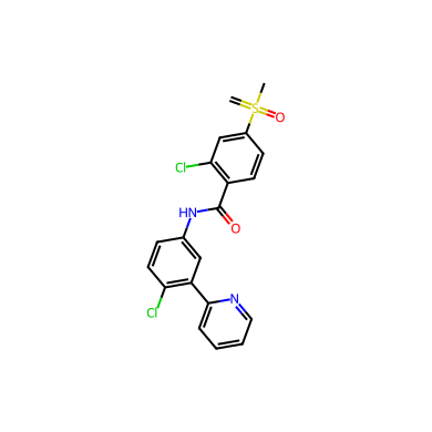 C=S(C)(=O)c1ccc(C(=O)Nc2ccc(Cl)c(-c3ccccn3)c2)c(Cl)c1